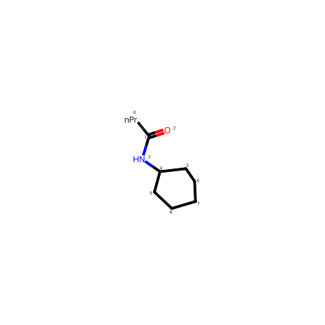 CCCC(=O)NC1C[CH]CCC1